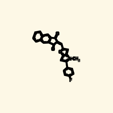 Cn1c(-c2ccc(F)cc2)cc2oc(C=C3C(=O)c4cc5ccccc5cc4C3=O)cc21